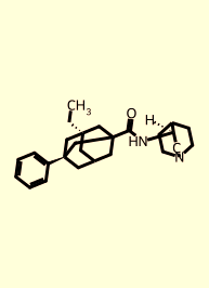 CC[C@@]12CC3CC(C(=O)N[C@@H]4CN5CCC4CC5)(C1)C[C@](c1ccccc1)(C3)C2